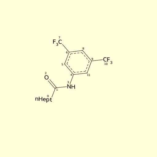 CCCCCCCC(=O)Nc1cc(C(F)(F)F)cc(C(F)(F)F)c1